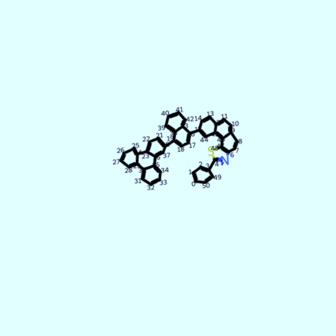 c1ccc(-c2nc3ccc4ccc5ccc(-c6ccc(-c7ccc8c9ccccc9c9ccccc9c8c7)c7ccccc67)cc5c4c3s2)cc1